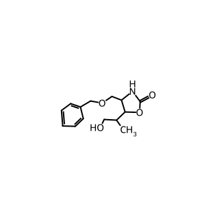 CC(CO)C1OC(=O)NC1COCc1ccccc1